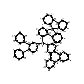 c1ccc(-c2ccc(N(c3ccc4c5ccccc5c5ccccc5c4c3)c3cccc4c3-c3ccccc3C43c4ccccc4-c4ccccc43)cc2-c2ccccc2)cc1